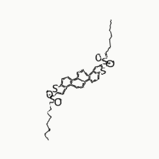 CCCCCCCCS(=O)(=O)c1cc2c(ccc3c2ccc2c4ccc5sc(S(=O)(=O)CCCCCCCC)cc5c4ccc32)s1